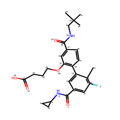 Cc1c(F)cc(C(=O)NC2CC2)cc1-c1ccc(C(=O)NCC(C)(C)C)cc1OCCCC(=O)O